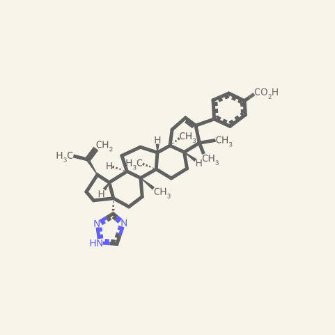 C=C(C)[C@@H]1CC[C@]2(c3nc[nH]n3)CC[C@]3(C)[C@H](CC[C@@H]4[C@@]5(C)CC=C(c6ccc(C(=O)O)cc6)C(C)(C)[C@@H]5CC[C@]43C)[C@@H]12